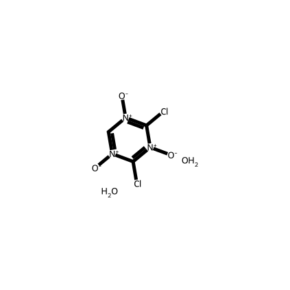 O.O.[O-][n+]1c[n+]([O-])c(Cl)[n+]([O-])c1Cl